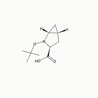 CC(C)(C)ON1[C@@H]2C[C@@H]2C[C@H]1C(=O)O